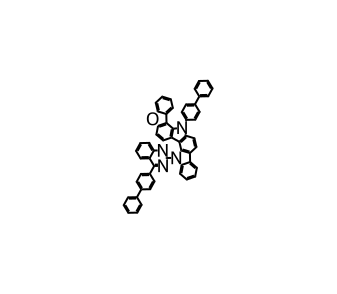 c1ccc(-c2ccc(-c3nc(-n4c5ccccc5c5ccc6c(c7ccc8oc9ccccc9c8c7n6-c6ccc(-c7ccccc7)cc6)c54)nc4ccccc34)cc2)cc1